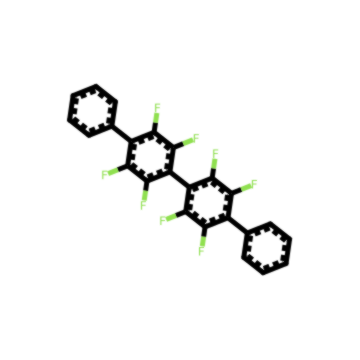 Fc1c(F)c(-c2c(F)c(F)c(-c3ccccc3)c(F)c2F)c(F)c(F)c1-c1ccccc1